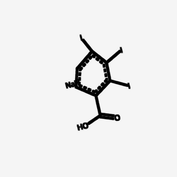 O=C(O)c1ccc(I)c(I)c1I.[NaH]